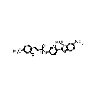 Cc1ccc(/C=C/C(=O)Nc2ccc(-c3nc4ccc([N+](=O)[O-])cc4n3O)nc2)c(F)c1